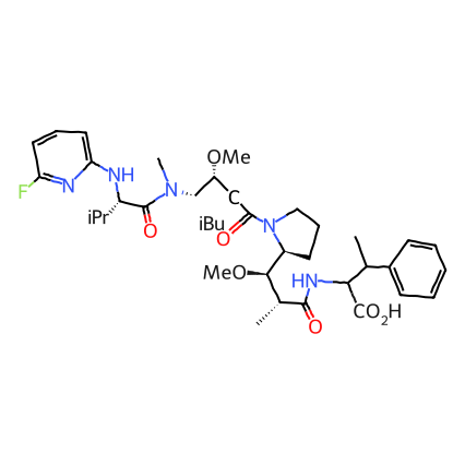 CC[C@H](C)[C@@H]([C@@H](CC(=O)N1CCC[C@H]1[C@H](OC)[C@@H](C)C(=O)NC(C(=O)O)C(C)c1ccccc1)OC)N(C)C(=O)[C@@H](Nc1cccc(F)n1)C(C)C